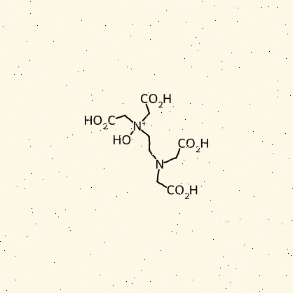 O=C(O)CN(CC[N+](O)(CC(=O)O)CC(=O)O)CC(=O)O